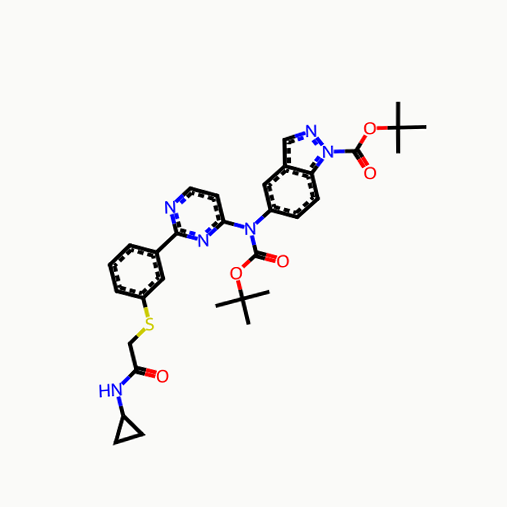 CC(C)(C)OC(=O)N(c1ccc2c(cnn2C(=O)OC(C)(C)C)c1)c1ccnc(-c2cccc(SCC(=O)NC3CC3)c2)n1